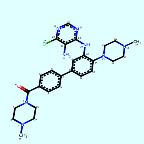 CN1CCN(C(=O)c2ccc(-c3ccc(N4CCN(C)CC4)c(Nc4ncnc(Cl)c4N)c3)cc2)CC1